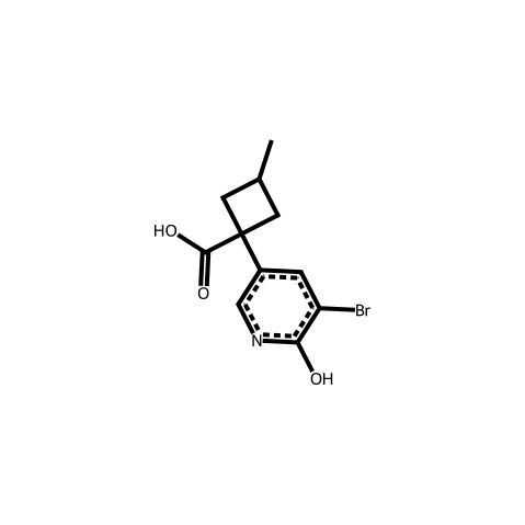 CC1CC(C(=O)O)(c2cnc(O)c(Br)c2)C1